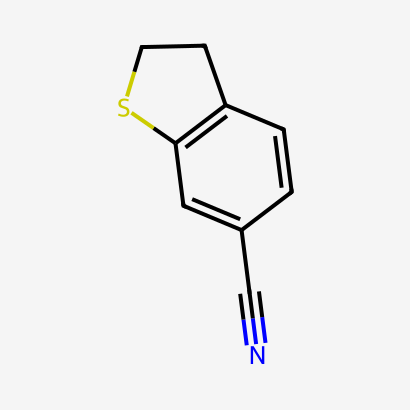 N#Cc1ccc2c(c1)SCC2